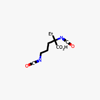 CCC(CCCN=C=O)(N=C=O)C(=O)O